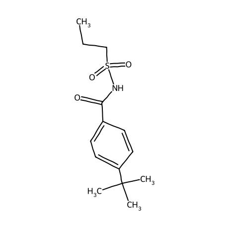 CCCS(=O)(=O)NC(=O)c1ccc(C(C)(C)C)cc1